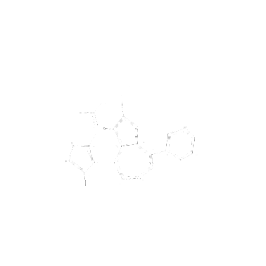 C[C](C)=[Ti+2]([C]1=CC(C(C)(C)C)=CC1)[c]1c(C)cc2c(-c3ccccc3)ccccc1-2.[Cl-].[Cl-]